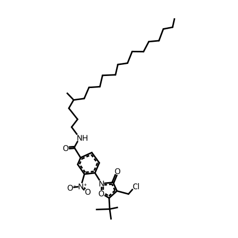 CCCCCCCCCCCCCCC(C)CCCNC(=O)c1ccc(-n2oc(C(C)(C)C)c(CCl)c2=O)c([N+](=O)[O-])c1